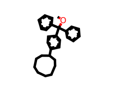 COC(c1ccccc1)(c1ccccc1)c1ccc(C2CCCCCCCC2)cc1